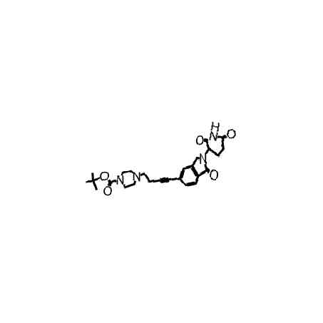 CC(C)(C)OC(=O)N1CCN(CCC#Cc2ccc3c(c2)CN(C2CCC(=O)NC2=O)C3=O)CC1